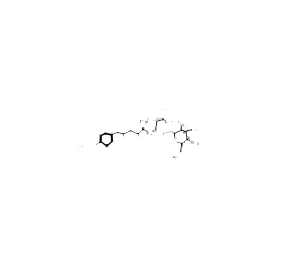 COc1ccc(CCCCC(=O)N[C@@H](COC2OC(CO)C(O)C(O)C2O)[C@H](O)[C@@H](C)O)cc1